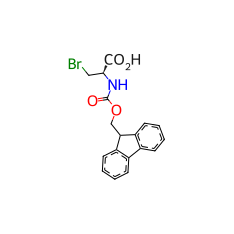 O=C(N[C@@H](CBr)C(=O)O)OCC1c2ccccc2-c2ccccc21